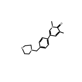 Cc1cc(-c2ccc(CN3CCOCC3)cc2)cn(C)c1=O